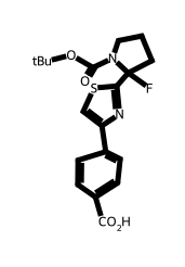 CC(C)(C)OC(=O)N1CCCC1(F)c1nc(-c2ccc(C(=O)O)cc2)cs1